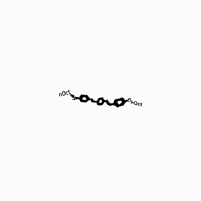 CCCCCCCCSc1ccc(/C=C/c2ccc(/C=C/c3ccc(SCCCCCCCC)cc3)cc2)cc1